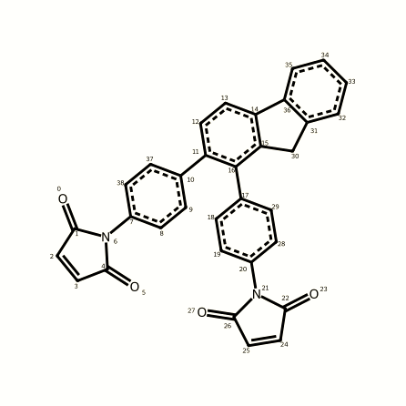 O=C1C=CC(=O)N1c1ccc(-c2ccc3c(c2-c2ccc(N4C(=O)C=CC4=O)cc2)Cc2ccccc2-3)cc1